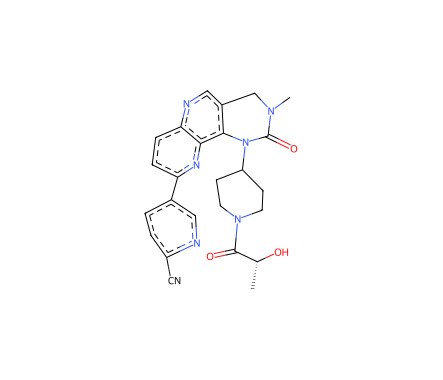 C[C@@H](O)C(=O)N1CCC(N2C(=O)N(C)Cc3cnc4ccc(-c5ccc(C#N)nc5)nc4c32)CC1